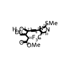 C/C=C(C#Cc1nc(SC)ncc1C(F)(F)F)\C(=C/CC)CC(=O)OC